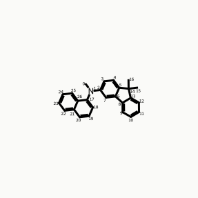 CN(c1ccc2c(c1)-c1ccccc1C2(C)C)c1cccc2ccccc12